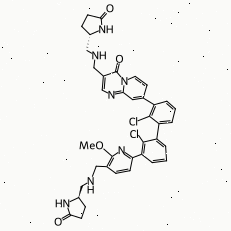 COc1nc(-c2cccc(-c3cccc(-c4ccn5c(=O)c(CNC[C@@H]6CCC(=O)N6)cnc5c4)c3Cl)c2Cl)ccc1CNC[C@H]1CCC(=O)N1